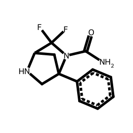 NC(=O)N1C2(c3ccccc3)CNC(C2)C1(F)F